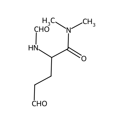 CN(C)C(=O)C(CCC=O)NC=O